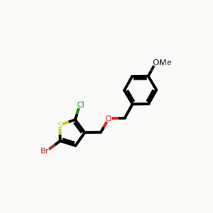 COc1ccc(COCc2cc(Br)sc2Cl)cc1